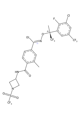 CC/C(=N\O[C@](C)(c1cc(C(F)(F)F)cc(Cl)c1F)C(F)(F)F)c1ccc(C(=O)NC2CN(S(=O)(=O)C(F)(F)F)C2)c(C)c1